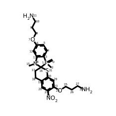 C=P1(C)c2ccc(OCCCN)cc2N(C)C12CCc1cc([N+](=O)[O-])c(OCCCN)cc1S2